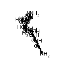 CC(C)(COP(=O)(O)OP(=O)(O)OCC1OC(n2cnc3c(N)ncnc32)C(O)C1OP(=O)(O)O)C(O)C(=O)NCCC(=O)NCCC(=O)/C=C/CCCN